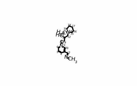 CN=[C]c1ccc[n+](OCC(O)C[N+]2(C)CCCCC2)c1